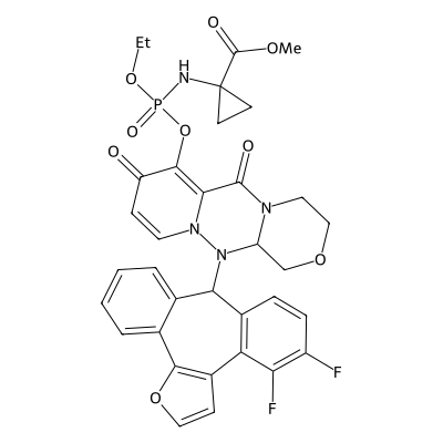 CCOP(=O)(NC1(C(=O)OC)CC1)Oc1c2n(ccc1=O)N(C1c3ccccc3-c3occc3-c3c1ccc(F)c3F)C1COCCN1C2=O